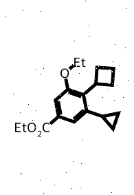 CCOC(=O)c1cc(OCC)c(C2CCC2)c(C2CC2)c1